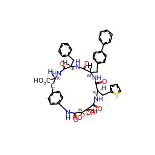 O=C1N[C@@H](C(=O)O)Cc2ccc(cc2)NC(=O)[C@H](O)[C@@H](O)C(=O)N[C@H](Cc2cccs2)C(=O)N[C@@H](Cc2ccc(-c3ccccc3)cc2)C(=O)N[C@H]1Cc1ccccc1